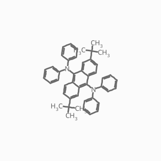 CC(C)(C)c1ccc2c(N(c3ccccc3)c3ccccc3)c3cc(C(C)(C)C)ccc3c(N(c3ccccc3)c3ccccc3)c2c1